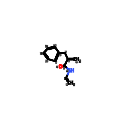 C=CNC(=O)C(=C)Cc1ccccc1